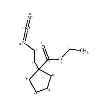 CCOC(=O)C1(CCN=[N+]=[N-])CCCC1